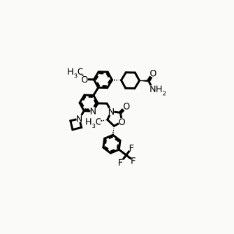 COc1ccc([C@H]2CC[C@H](C(N)=O)CC2)cc1-c1ccc(N2CCC2)nc1CN1C(=O)O[C@H](c2cccc(C(F)(F)F)c2)[C@@H]1C